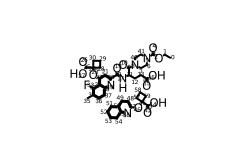 CCOC(=O)N1CCN(C(=O)C(CCC(=O)O)NC(=O)c2cc(OC3(C(=O)O)CCC3)c3c(F)c(C)ccc3n2)CC1.O=C(O)C1(Oc2ccc3ccccc3n2)CCC1